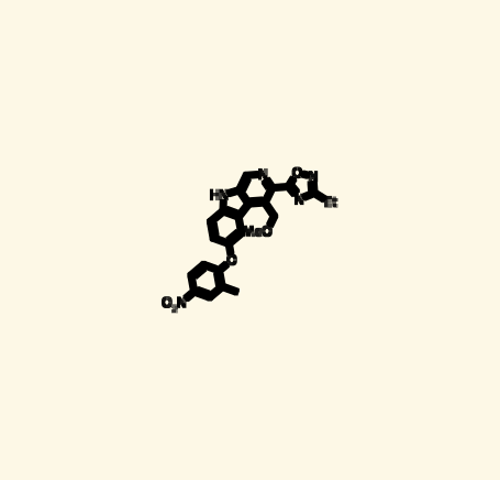 CCc1noc(-c2ncc3[nH]c4ccc(Oc5ccc([N+](=O)[O-])cc5C)cc4c3c2COC)n1